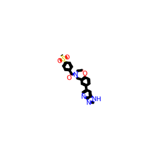 CS(=O)(=O)c1ccc(C(=O)N2CCOc3ccc(-c4cnc5nc[nH]c5c4)cc3C2)cc1